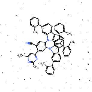 Cc1cc(-c2cc(-n3c4cc(-c5ccccc5C)ccc4c4ccc(-c5ccccc5C)cc43)c(-n3c4cc(-c5ccccc5C)ccc4c4ccc(-c5ccccc5C)cc43)cc2C#N)nc(C)n1